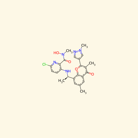 Cc1cc([C@@H](C)Nc2ccc(Cl)nc2C(=O)N(C)O)c2oc(-c3cnn(C)c3)c(C)c(=O)c2c1